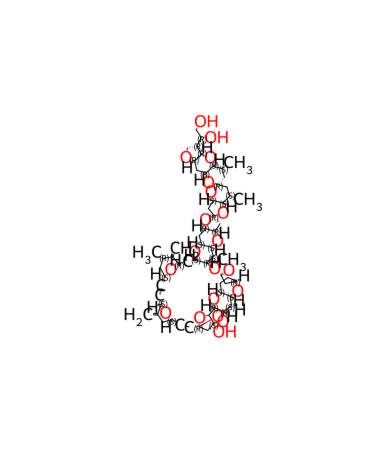 C=C1C[C@@H]2CC[C@@]34C[C@]5(O)O[C@H]6[C@@H](O3)[C@H]3O[C@H](CC[C@@H]3O[C@H]6C5O4)CC(=O)O[C@@H]3[C@@H](C)[C@@H]4O[C@@H]5C[C@@]6(C[C@@H]7O[C@]8(C[C@H](C)[C@@H]9O[C@@H]%10[C@@H]([C@@H](O)CO)CO[C@@H]%10C[C@@H]9O8)C[C@H](C)[C@@H]7O6)O[C@@H]5C[C@@H]4O[C@H]3C[C@H]3O[C@@H](CC[C@@H]1O2)C[C@@H](C)C3=C